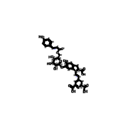 O=C(/C=C/c1ccc(O)cc1)OC[C@H]1O[C@@H](Oc2cc3c(cc2O)C[C@@H](C(=O)O)N3/C=C/C2=CC(C(=O)O)=N[C@H](C(=O)O)C2)[C@H](O)[C@@H](O)[C@@H]1O